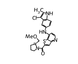 COC[C@@H]1CCCN1C(=O)c1cc2nccc(Nc3ccc4[nH]c(C)c(Cl)c4c3)c2s1